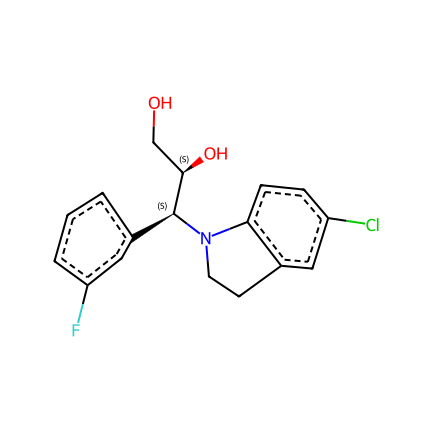 OC[C@@H](O)[C@H](c1cccc(F)c1)N1CCc2cc(Cl)ccc21